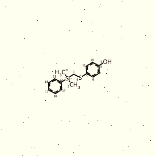 C[Si](C)(CSc1ccc(O)cc1)c1ccccc1